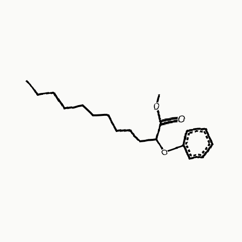 CCCCCCCCCCC(Oc1ccccc1)C(=O)OC